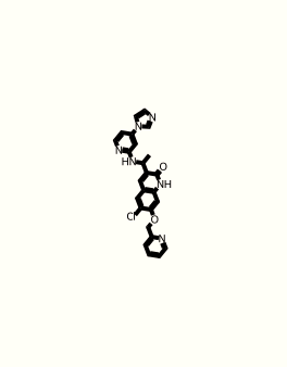 CC(Nc1cc(-n2ccnc2)ccn1)c1cc2cc(Cl)c(OCc3ccccn3)cc2[nH]c1=O